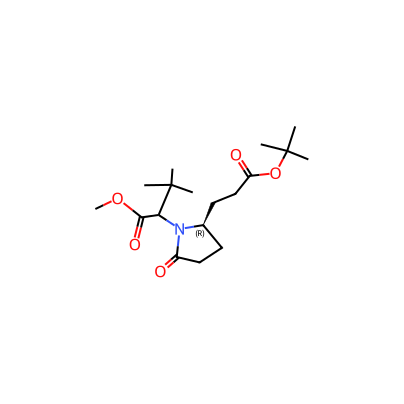 COC(=O)C(N1C(=O)CC[C@@H]1CCC(=O)OC(C)(C)C)C(C)(C)C